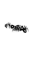 Nc1nccc2cc(NC(=O)C(O)C3OCCN(c4ccc(OC(F)(F)F)cc4)C3=O)ccc12